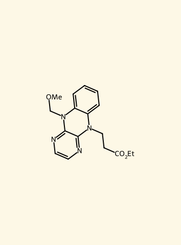 CCOC(=O)CCN1c2ccccc2N(COC)c2nccnc21